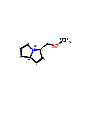 COCC1CCC2CCCN21